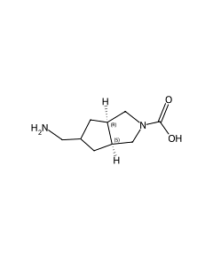 NCC1C[C@@H]2CN(C(=O)O)C[C@@H]2C1